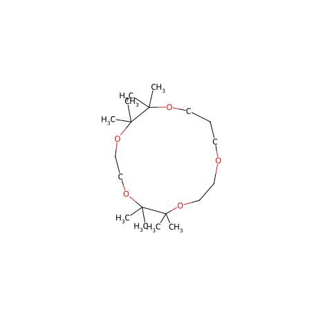 CC1(C)OCCCOCCOC(C)(C)C(C)(C)OCCOC1(C)C